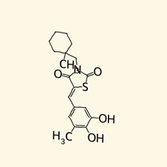 Cc1cc(/C=C2\SC(=O)N(CC3(C)CCCCC3)C2=O)cc(O)c1O